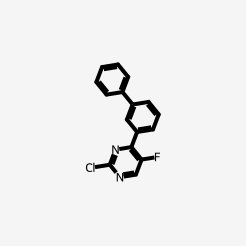 Fc1cnc(Cl)nc1-c1cccc(-c2ccccc2)c1